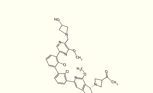 COc1nc(-c2cccc(-c3cccc(-c4cc5c(c(OC)n4)[C@H](N4CC(C(C)=O)C4)CC5)c3Cl)c2Cl)cnc1CN1CC(O)C1